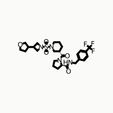 O=C(NCc1ccc(C(F)(F)F)cc1)[C@H]1CCCN1C(=O)[C@H]1CCCN(S(=O)(=O)N2CC(C3CCOC3)C2)C1